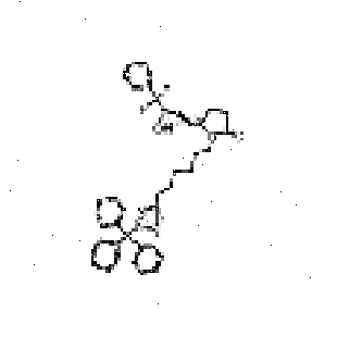 O=C1CC[C@H](/C=C/[C@@H](O)C(F)(F)c2ccccc2)N1CCCCCCc1nnn(C(c2ccccc2)(c2ccccc2)c2ccccc2)n1